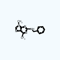 Cn1cnc2c(C(F)(F)F)nc(NCc3ccccc3)nc21